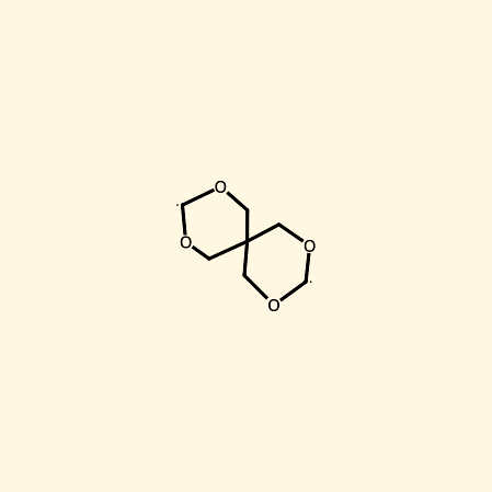 [CH]1OCC2(CO1)CO[CH]OC2